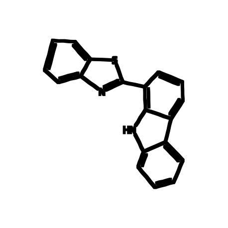 c1ccc2sc(-c3cccc4c3[nH]c3ccccc34)nc2c1